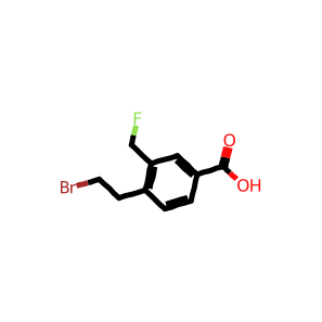 O=C(O)c1ccc(CCBr)c(CF)c1